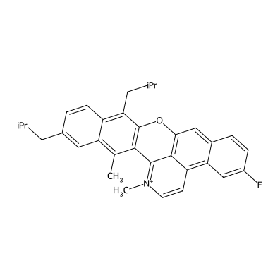 Cc1c2c(c(CC(C)C)c3ccc(CC(C)C)cc13)Oc1cc3ccc(F)cc3c3cc[n+](C)c-2c13